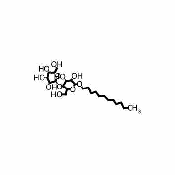 CCCCCCCCCCCCO[C@H]1OC(CO)[C@H](O[C@@H]2OC(CO)[C@H](O)[C@@H](O)C2O)[C@@H](O)C1O